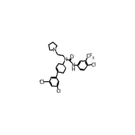 O=C(Nc1ccc(Cl)c(C(F)(F)F)c1)N(CCN1CCCC1)C1CC=C(c2cc(Cl)cc(Cl)c2)CC1